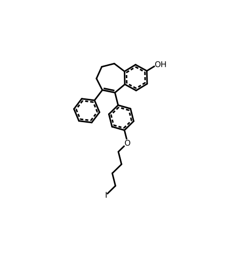 Oc1ccc2c(c1)CCCC(c1ccccc1)=C2c1ccc(OCCCCI)cc1